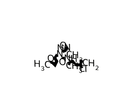 C=C/C(Cl)=C\C=C(/C)NC(=O)N(Cc1ccc(C)o1)c1nonc1C